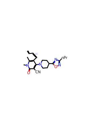 C=C/C=C\c1c(N2CCC(c3nc(CCC)no3)CC2)c(C#N)c(=O)n(C)c1C